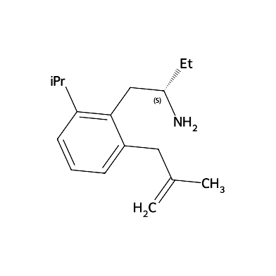 C=C(C)Cc1cccc(C(C)C)c1C[C@@H](N)CC